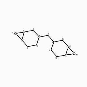 C1CC2OC2C[C]1CC1CCC2OC2C1